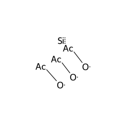 CC([O])=O.CC([O])=O.CC([O])=O.[Si]